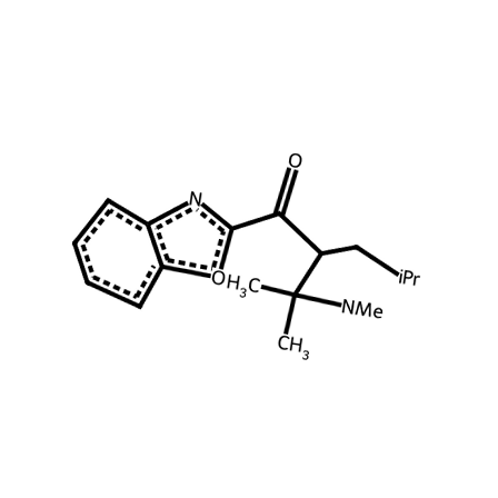 CNC(C)(C)C(CC(C)C)C(=O)c1nc2ccccc2o1